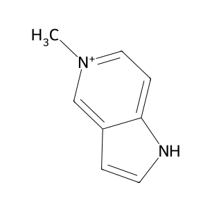 C[n+]1ccc2[nH]ccc2c1